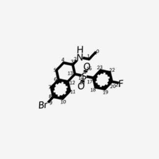 [CH2]CNC1CCc2cc(Br)ccc2C1S(=O)(=O)c1ccc(F)cc1